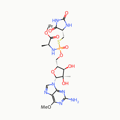 COc1nc(N)nc2c1ncn2[C@@H]1O[C@H](COP(=O)(N[C@@H](C)C(=O)OC(C)C)SC[C@H]2NC(=O)NC2=O)[C@@H](O)[C@@]1(C)O